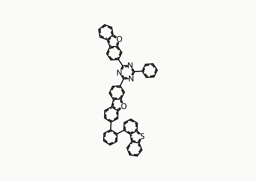 c1ccc(-c2nc(-c3ccc4c(c3)oc3ccccc34)nc(-c3ccc4c(c3)oc3cc(-c5ccccc5-c5cccc6sc7ccccc7c56)ccc34)n2)cc1